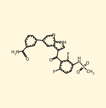 CS(=O)(=O)Nc1ccc(F)c(C(=O)c2c[nH]c3ncc(-c4cccc(C(N)=O)c4)cc23)c1F